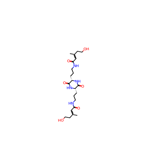 C/C(=C\C(=O)NCCC[C@@H]1NC(=O)[C@H](CCCNC(=O)/C=C(\C)CCO)NC1=O)CCO